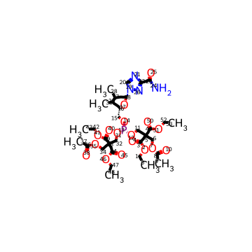 CCOC(=O)C(COC(C)=O)(COP(OC[C@H]1O[C@@H](n2cnc(C(N)=O)n2)C(C)C1C)OCC(COC(C)=O)(C(=O)OCC)C(=O)OCC)C(=O)OCC